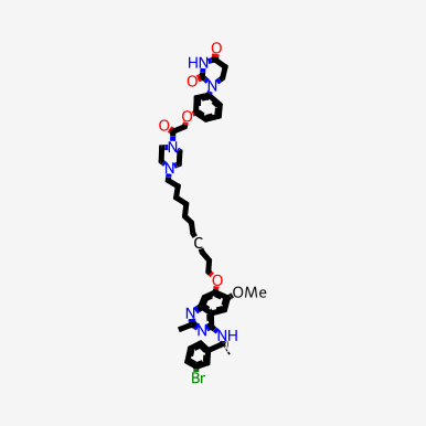 COc1cc2c(N[C@H](C)c3cccc(Br)c3)nc(C)nc2cc1OCCCCCCCCCCCN1CCN(C(=O)COc2cccc(N3CCC(=O)NC3=O)c2)CC1